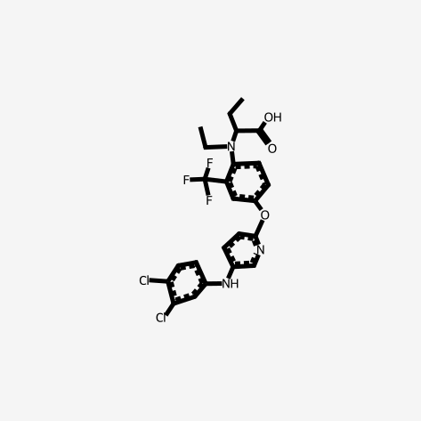 CCC(C(=O)O)N(CC)c1ccc(Oc2ccc(Nc3ccc(Cl)c(Cl)c3)cn2)cc1C(F)(F)F